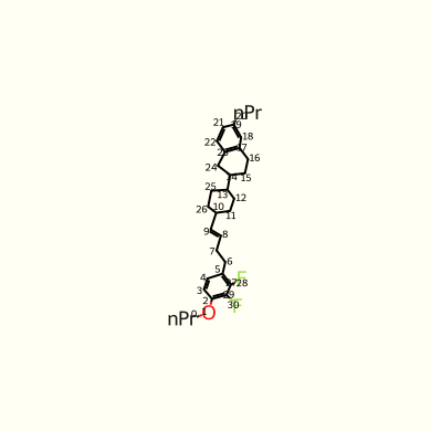 CCCOc1ccc(CC/C=C/C2CCC(C3CCc4cc(CCC)ccc4C3)CC2)c(F)c1F